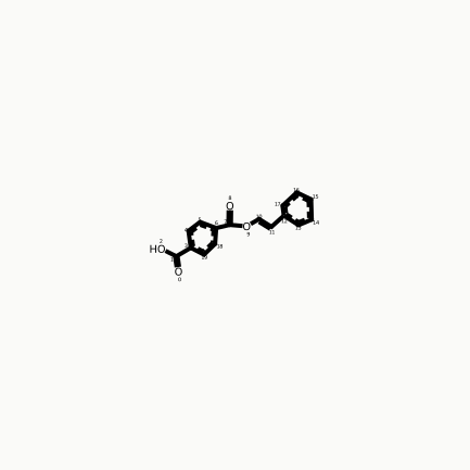 O=C(O)c1ccc(C(=O)OC=Cc2ccccc2)cc1